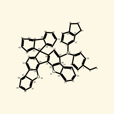 CCc1ccc(N(c2ccc3c(c2)CCC3)c2cc3c(c4oc5ccccc5c24)-c2c(ccc4c2oc2ccccc24)C32c3ccccc3-c3ccccc32)cc1